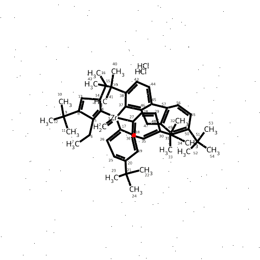 Cl.Cl.[CH2]=[Zr]([C]1=C(CC)C(C(C)(C)C)=CC1CC)([c]1ccc(C(C)(C)C)cc1)([c]1ccc(C(C)(C)C)cc1)[c]1c(C(C)(C)C)ccc2c1Cc1cc(C(C)(C)C)ccc1-2